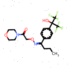 CCC/C(=N/OCC(=O)N1CCOCC1)c1ccc(C(O)(C(F)(F)F)C(F)(F)F)cc1